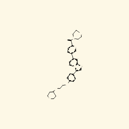 O=C(c1ccc(-c2ccn3c(-c4ccc(OCCOC5CCOCC5)cc4)cnc3c2)cn1)N1CCOCC1